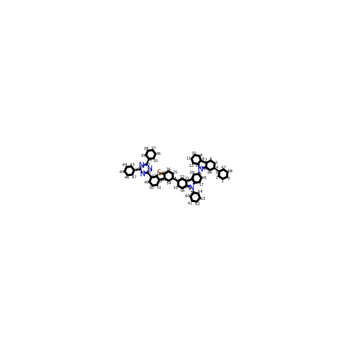 c1ccc(-c2ccc3c4ccccc4n(-c4ccc5c(c4)c4cc(-c6ccc7sc8c(-c9nc(-c%10ccccc%10)nc(-c%10ccccc%10)n9)cccc8c7c6)ccc4n5-c4ccccc4)c3c2)cc1